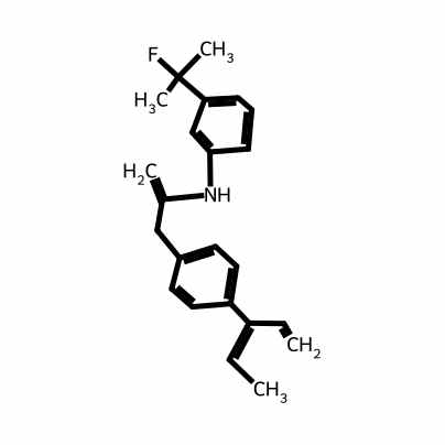 C=C/C(=C\C)c1ccc(CC(=C)Nc2cccc(C(C)(C)F)c2)cc1